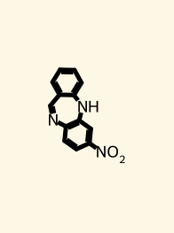 O=[N+]([O-])c1ccc2c(c1)Nc1ccccc1C=N2